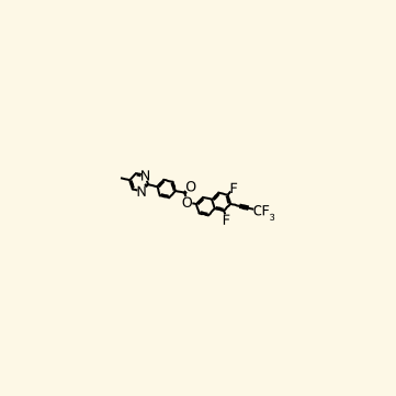 Cc1cnc(-c2ccc(C(=O)Oc3ccc4c(F)c(C#CC(F)(F)F)c(F)cc4c3)cc2)nc1